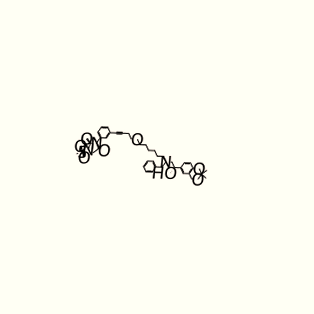 CC1(C)OCc2cc([C@H](O)CN(CCCCCCOCCC#Cc3cccc(N4C(=O)CN(S(C)(=O)=O)C4=O)c3)Cc3ccccc3)ccc2O1